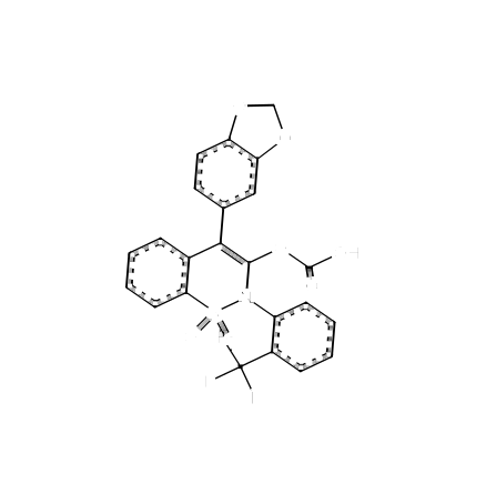 O=C(O)OC1=C(c2ccc3c(c2)OCO3)c2ccccc2S(=O)(=O)N1c1ccccc1C(F)(F)F